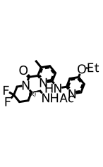 CCOc1ccnc(Nc2ccc(C)c(C(=O)N3CC(F)(F)CC[C@@H]3CNC(C)=O)n2)c1